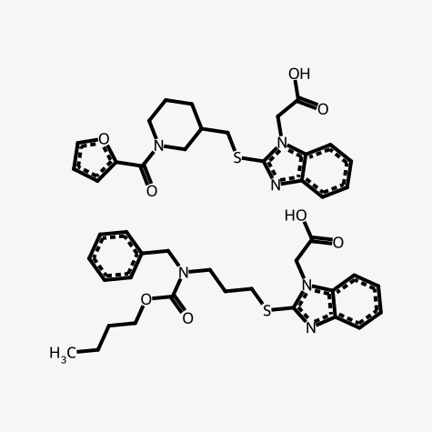 CCCCOC(=O)N(CCCSc1nc2ccccc2n1CC(=O)O)Cc1ccccc1.O=C(O)Cn1c(SCC2CCCN(C(=O)c3ccco3)C2)nc2ccccc21